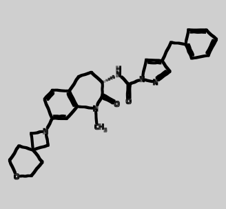 CN1C(=O)[C@@H](NC(=O)n2cc(Cc3ccccc3)cn2)CCc2ccc(N3CC4(CCOCC4)C3)cc21